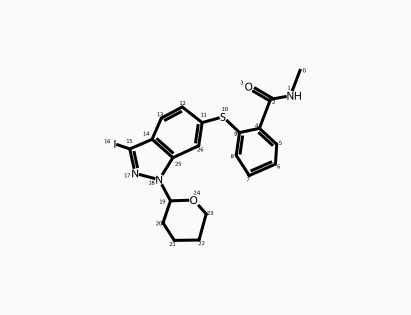 CNC(=O)c1ccccc1Sc1ccc2c(I)nn(C3CCCCO3)c2c1